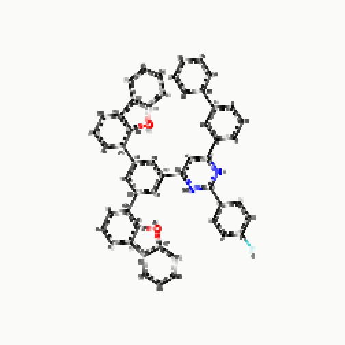 Fc1ccc(-c2nc(-c3cccc(-c4ccccc4)c3)cc(-c3cc(-c4cccc5c4oc4ccccc45)cc(-c4cccc5c4oc4ccccc45)c3)n2)cc1